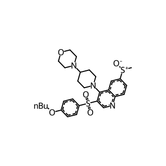 CCCCOc1ccc(S(=O)(=O)c2cnc3ccc([S+](C)[O-])cc3c2N2CCC(N3CCOCC3)CC2)cc1